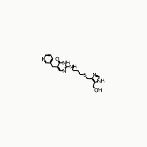 O=c1[nH]c(NCCCSCc2nc[nH]c2CO)ncc1Cc1cccnc1